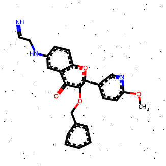 COc1ccc(-c2oc3ccc(NCC=N)cc3c(=O)c2OCc2ccccc2)cn1